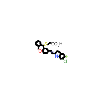 O=C(O)CCSC1c2ccccc2COc2ccc(/C=C/c3ccc4cc(F)c(Cl)cc4n3)cc21